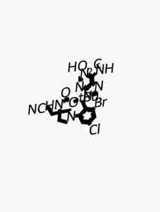 CC(C)(C)OC(=O)NC1(CCC#N)CCN(c2cc(Cl)cc(Br)c2Cn2cnc3c(NC(=O)O)ncnc32)C1